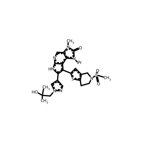 CC(C)n1c(=O)n(C)c2cnc3[nH]c(-c4cnn(CC(C)(C)O)c4)c(-c4cc5c(s4)CCN(S(C)(=O)=O)C5)c3c21